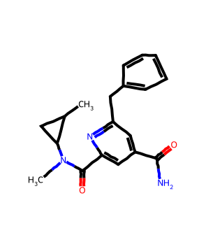 CC1CC1N(C)C(=O)c1cc(C(N)=O)cc(Cc2ccccc2)n1